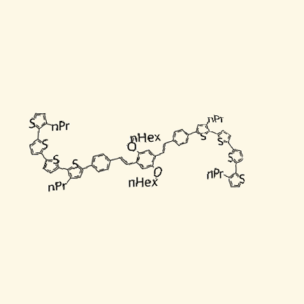 CCCCCCOc1cc(/C=C/c2ccc(-c3cc(CCC)c(-c4ccc(-c5ccc(-c6sccc6CCC)s5)s4)s3)cc2)c(OCCCCCC)cc1/C=C/c1ccc(-c2cc(CCC)c(-c3ccc(-c4ccc(-c5sccc5CCC)s4)s3)s2)cc1